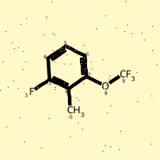 Cc1c(F)cccc1OC(F)(F)F